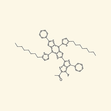 CCCCCCCCc1ccc(-c2c3cc(-c4sc(-c5ccccc5)c5c(F)c(C(C)=O)sc45)sc3c(-c3ccc(CCCCCCCC)s3)c3cc(-c4ccccc4)sc23)s1